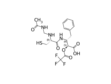 CC(=O)NCN[C@@H](CS)C(=O)N[C@H](Cc1ccccc1)[C@H](OC(=O)C(F)(F)F)C(=O)O